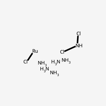 ClNCl.N.N.N.N.N.[Cl][Ru]